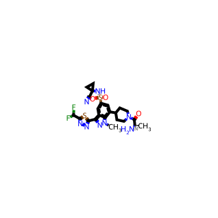 C[C@H](N)C(=O)N1CCC(c2cc(S(=O)(=O)NC3(C#N)CC3)cc3c(-c4nnc(C(F)F)s4)nn(C)c23)CC1